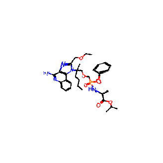 CCCCC(C)(COCP(=O)(NC(C)C(=O)OC(C)C)Oc1ccccc1)n1c(COCC)nc2c(N)nc3ccccc3c21